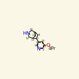 CC(C)Oc1cncc(C2CC3CNCC2C3)c1